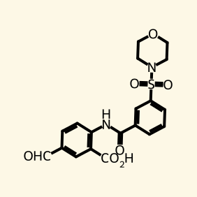 O=Cc1ccc(NC(=O)c2cccc(S(=O)(=O)N3CCOCC3)c2)c(C(=O)O)c1